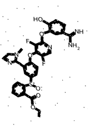 CCOC(=O)c1ccccc1[S+]([O-])c1ccc(Oc2c(F)cnc(Oc3cc(C(=N)N)ccc3O)c2F)c(C2N=CCN2C)c1